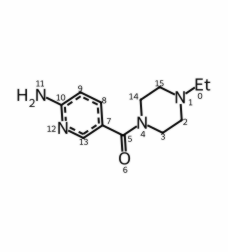 CCN1CCN(C(=O)c2ccc(N)nc2)CC1